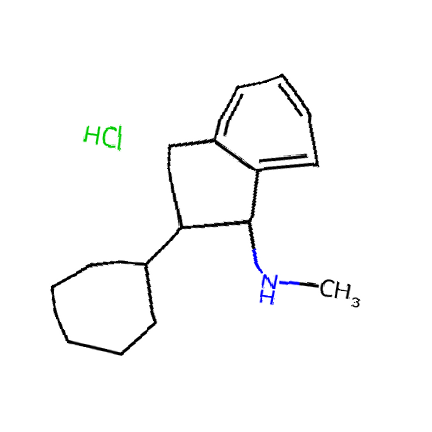 CNC1c2ccccc2CC1C1CCCCC1.Cl